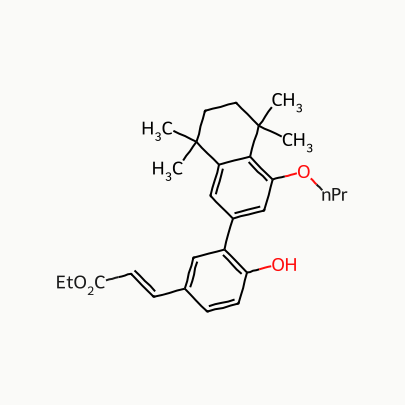 CCCOc1cc(-c2cc(C=CC(=O)OCC)ccc2O)cc2c1C(C)(C)CCC2(C)C